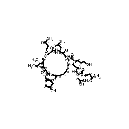 CC[C@H](C)C1NN[C@@H](CCC(N)=O)C(=O)N[C@@H](CC(N)=O)C(=O)N[C@H](C(=O)N(CCCO)CC(=O)N[C@@H](CC(C)C)C(=O)NCC(N)=O)CSCCCC(=O)N[C@@H](Cc2ccc(O)cc2)C(=O)C1=O